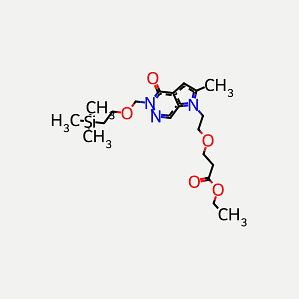 CCOC(=O)CCOCCn1c(C)cc2c(=O)n(COCC[Si](C)(C)C)ncc21